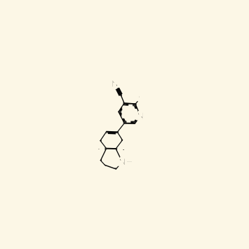 Cc1ncc(C2=CC[C@@H]3CCCN[C@@H]3C2)cc1C#N